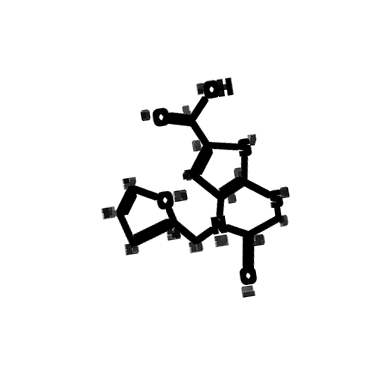 O=C(O)c1cc2c(s1)SCC(=O)N2Cc1ccco1